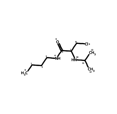 CCCCNC(=O)C(CCl)NC(C)C